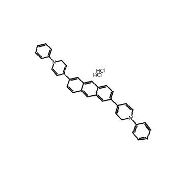 C1=CN(c2ccccc2)CC=C1c1ccc2cc3cc(C4=CCN(c5ccccc5)C=C4)ccc3cc2c1.Cl.Cl